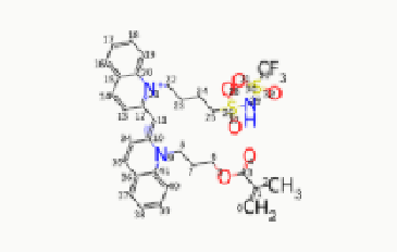 C=C(C)C(=O)OCCCN1/C(=C/c2ccc3ccccc3[n+]2CCCCS(=O)(=O)NS(=O)(=O)C(F)(F)F)C=Cc2ccccc21